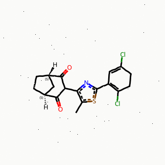 Cc1sc(C2=C(Cl)CCC(Cl)=C2)nc1C1C(=O)[C@H]2CC[C@@H](C2)C1=O